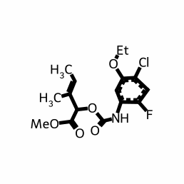 CC=C(C)C(OC(=O)Nc1cc(OCC)c(Cl)cc1F)C(=O)OC